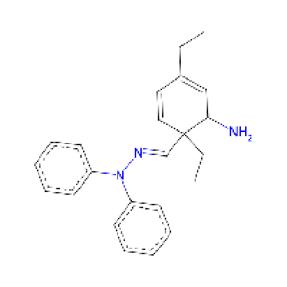 CCC1=CC(N)C(C=NN(c2ccccc2)c2ccccc2)(CC)C=C1